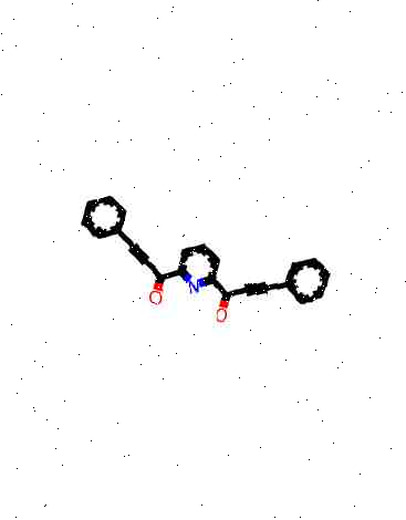 O=C(C#Cc1ccccc1)c1cccc(C(=O)C#Cc2ccccc2)n1